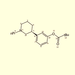 CCCN1CCC[C@@H](c2cccc(OC(=O)C(C)(C)C)c2)C1